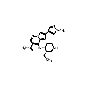 CC[C@@H]1CNCC[C@H]1Nc1c(C(N)=O)cnn2cc(-c3cnn(C)c3)cc12